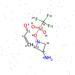 C=CC=O.NC1CN(OS(=O)(=O)C(F)(F)F)C1